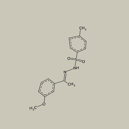 COc1cccc(C(C)=NNS(=O)(=O)c2ccc(C)cc2)c1